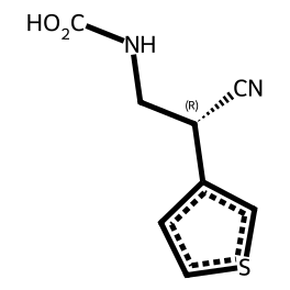 N#C[C@@H](CNC(=O)O)c1ccsc1